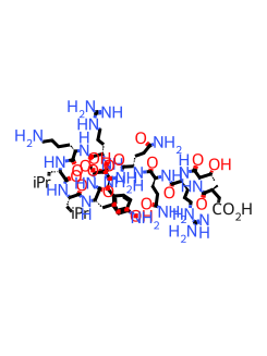 CC(C)C[C@H](NC(=O)[C@H](CC(C)C)NC(=O)[C@H](CCCCN)NC(=O)[C@H](CCCNC(=N)N)NC(=O)[C@H](Cc1ccc(O)cc1)NC(=O)[C@H](CCC(N)=O)NC(=O)[C@H](CCC(N)=O)NC(=O)[C@H](CCCNC(=N)N)NC(=O)[C@@H](NC(=O)[C@@H](C)CC(=O)O)[C@@H](C)O)C(=O)N[C@@H](CCCCN)C(=O)N[C@@H](CO)C(N)=O